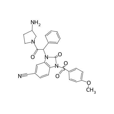 COc1ccc(S(=O)(=O)n2c(=O)n(C(C(=O)N3CCC(N)C3)c3ccccc3)c3cc(C#N)ccc32)cc1